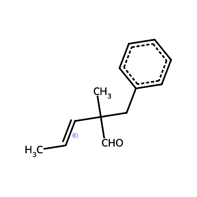 C/C=C/C(C)(C=O)Cc1ccccc1